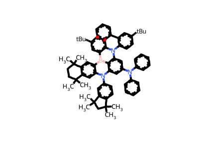 CC(C)(C)c1ccc2c(c1)B1c3cc4c(cc3N(c3ccc5c(c3)C(C)(C)CC5(C)C)c3cc(N(c5ccccc5)c5ccccc5)cc(c31)N2c1ccc(C(C)(C)C)cc1-c1ccccc1)C(C)(C)CCC4(C)C